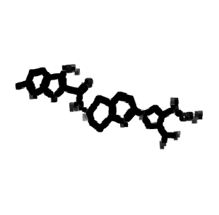 Cc1ccc2c(N)c(C(=O)N[C@H]3CCc4nc(N5CC(NC(=O)O)C(C(F)F)C5)ccc4C3)sc2n1